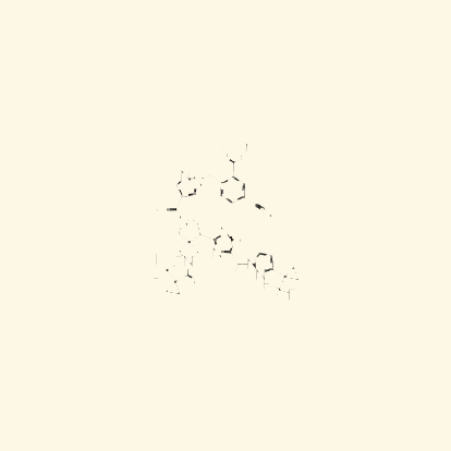 COC(=O)c1cc(C#N)ccc1Cn1cc(C(=O)N2CC(c3noc(C(C)n4ccc(C5(C(F)(F)F)CC5)n4)n3)C3(C2)CN(C(=O)C2(C(F)(F)F)CC2)C3)cn1